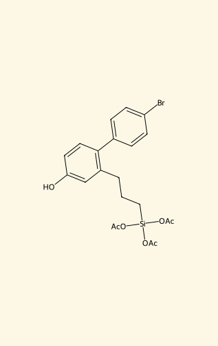 CC(=O)O[Si](CCCc1cc(O)ccc1-c1ccc(Br)cc1)(OC(C)=O)OC(C)=O